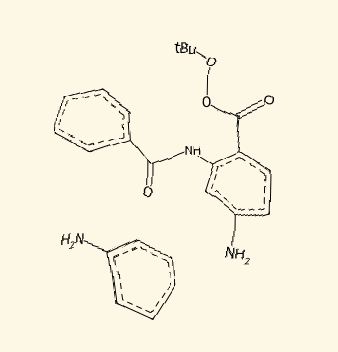 CC(C)(C)OOC(=O)c1ccc(N)cc1NC(=O)c1ccccc1.Nc1ccccc1